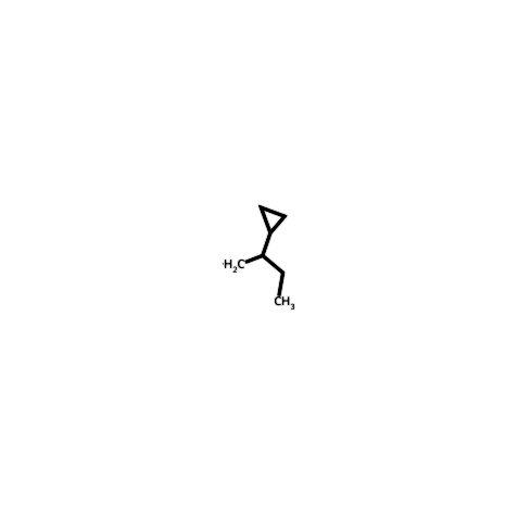 [CH2]C(CC)C1CC1